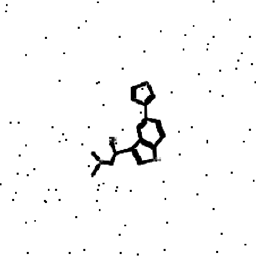 CN(C)CC(O)c1c[nH]c2ccc(-c3ccsc3)cc12